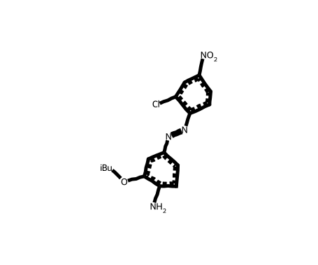 CCC(C)Oc1cc(N=Nc2ccc([N+](=O)[O-])cc2Cl)ccc1N